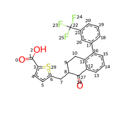 O=C(O)c1ccc(CC2CCc3c(cccc3-c3cccc(C(F)(F)F)c3)C2=O)s1